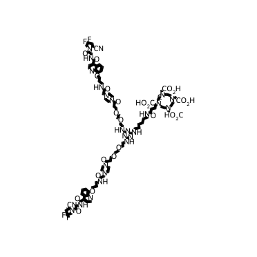 N#C[C@@H]1CC(F)(F)CN1C(=O)CNC(=O)c1ccnc2c(OCCCNC(=O)CN3CCN(C(=O)CCOCCOCCNc4nc(NCCCCCCNC(=O)CCC(C(=O)O)N5CCN(CC(=O)O)CCN(CC(=O)O)CCN(CC(=O)O)CC5)nc(NCCOCCOCCC(=O)N5CCN(CC(=O)NCCCOc6cccc7c(C(=O)NCC(=O)N8CC(F)(F)C[C@H]8C#N)ccnc67)CC5)n4)CC3)cccc12